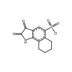 O=C1Nc2c(cc(S(=O)(=O)Cl)c3c2CCCC3)C1=O